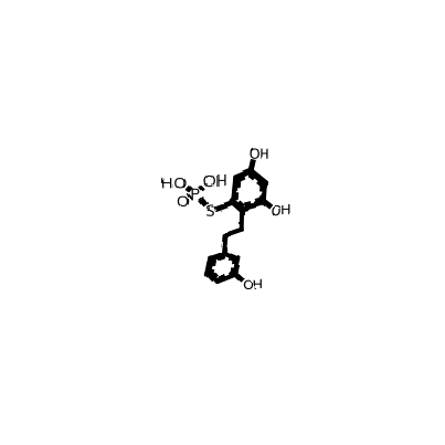 O=P(O)(O)Sc1cc(O)cc(O)c1CCc1cccc(O)c1